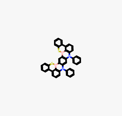 c1ccc(N2c3cc4c(cc3B3Sc5ccccc5-c5cccc2c53)B2Sc3ccccc3-c3cccc(c32)N4c2ccccc2)cc1